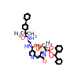 CC(C)(C(=O)NCCNC(=O)c1ccnc(/C=C2/C(=O)N3C2S(=O)(=O)C(C)(C)[C@@H]3C(=O)OC(c2ccccc2)c2ccccc2)c1)c1ccc(-c2ccccc2)cc1